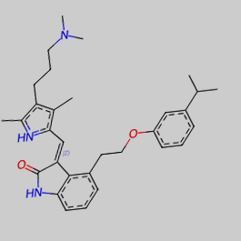 Cc1[nH]c(/C=C2\C(=O)Nc3cccc(CCOc4cccc(C(C)C)c4)c32)c(C)c1CCCN(C)C